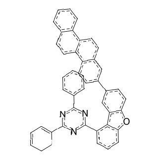 C1=CCCC(c2nc(-c3ccccc3)nc(-c3cccc4oc5ccc(-c6ccc7c(ccc8c9ccccc9ccc78)c6)cc5c34)n2)=C1